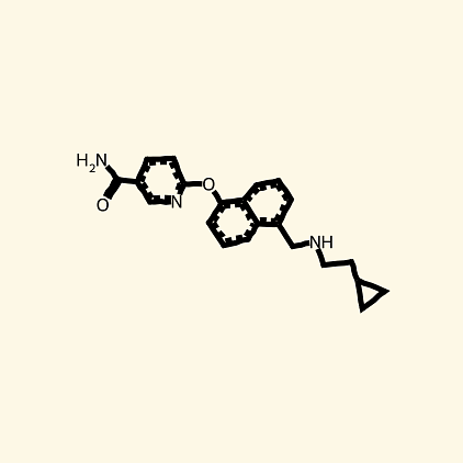 NC(=O)c1ccc(Oc2cccc3c(CNCCC4CC4)cccc23)nc1